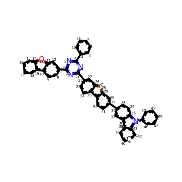 c1ccc(-c2nc(-c3ccc4c(c3)oc3ccccc34)nc(-c3ccc4c(c3)sc3cc(-c5ccc6c(c5)c5ccccc5n6-c5ccccc5)ccc34)n2)cc1